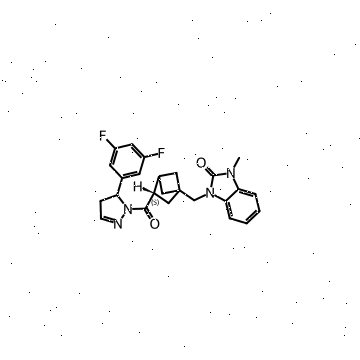 Cn1c(=O)n(CC23CC(C2)[C@@H](C(=O)N2N=CCC2c2cc(F)cc(F)c2)C3)c2ccccc21